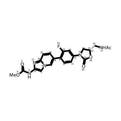 COC(=O)Nc1cn2cc(-c3ccc(N4C[C@H](CNC(C)=O)OC4=O)cc3F)ccc2n1